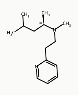 CC(C)C[C@@H](C)N(C)CCc1ccccn1